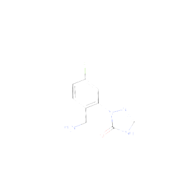 NCc1ccc(F)cc1-n1nc[nH]c1=O